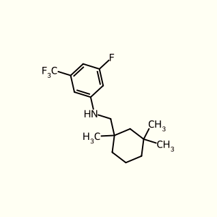 CC1(C)CCCC(C)(CNc2cc(F)cc(C(F)(F)F)c2)C1